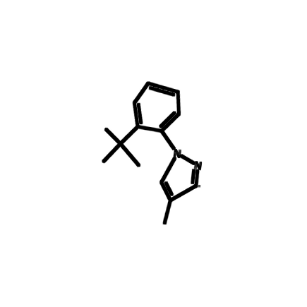 Cc1[c]nn(-c2ccccc2C(C)(C)C)c1